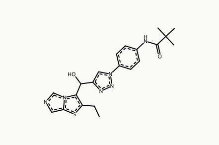 CCc1sc2cncn2c1C(O)c1cn(-c2ccc(NC(=O)C(C)(C)C)cc2)nn1